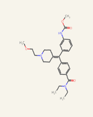 CCN(CC)C(=O)c1ccc(C(=C2CCN(CCOC)CC2)c2cccc(NC(=O)OC)c2)cc1